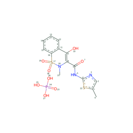 Cc1cnc(NC(=O)C2=C(O)c3ccccc3S(=O)(=O)N2C)s1.O=P(O)(O)O